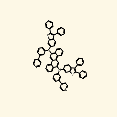 c1ccc(-c2sc3cc(N(c4cccc(-c5ccncc5)c4)c4cc5c6ccccc6c(N(c6cccc(-c7ccncc7)c6)c6ccc7c(-c8ccccc8)c(-c8ccccc8)sc7c6)cc5c5ccccc45)ccc3c2-c2ccccc2)cc1